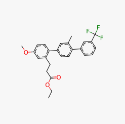 CCOC(=O)CCc1cc(OC)ccc1-c1ccc(-c2cccc(C(F)(F)F)c2)c(C)c1